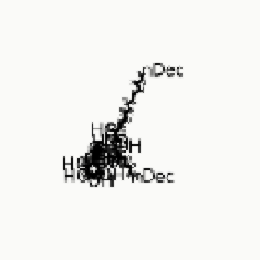 CCCCCCCCCCCCCCCCCCCCCCC(O)C(=O)N[C@@H](COP(=O)(O)OC1C(O)C(O)C(O)[C@@H](O)C1O)[C@H](O)[C@H](O)CCCCCCCCCCCCCC